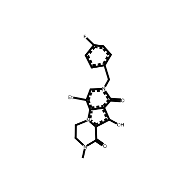 CCc1cn(Cc2ccc(F)cc2)c(=O)c2c(O)c3n(c12)CCN(C)C3=O